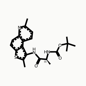 Cc1ccc2c(ccc3sc(C)c(NC(=O)[C@H](C)NC(=O)OC(C)(C)C)c32)n1